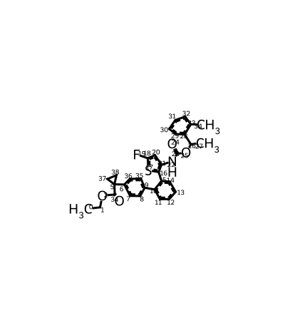 CCOC(=O)C1(c2ccc(-c3ccccc3-c3sc(F)cc3NC(=O)OC(C)c3ccccc3C)cc2)CC1